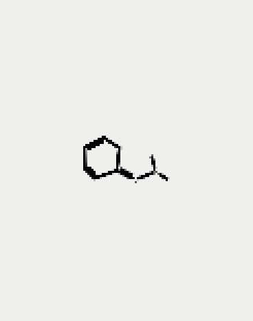 CN(C)/N=C1/C=CC=CC1